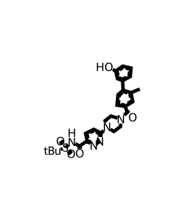 Cc1cc(C(=O)N2CCN(c3ccc(C(=O)NS(=O)(=O)C(C)(C)C)nn3)CC2)ccc1-c1cccc(O)c1